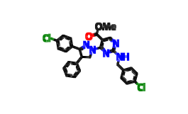 COC(=O)c1cnc(NCc2ccc(Cl)cc2)nc1N1CC(c2ccccc2)C(c2ccc(Cl)cc2)=N1